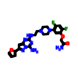 NC(=O)COc1cc(N2CCN(CCNc3nc(N)n4nc(-c5ccco5)cc4n3)CC2)c(F)cc1F